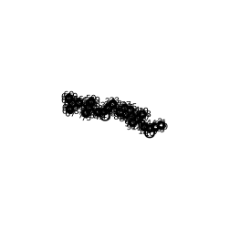 c1ccc2cc3c(cc2c1)oc1ccc(-c2c4ccccc4c(-c4ccc5ccc6c(-c7cccc8cc9c(cc78)oc7ccc(-c8c%10ccccc%10c(-c%10ccc%11c%12ccccc%12c%12ccccc%12c%11c%10)c%10ccccc8%10)cc79)ccc7ccc4c5c76)c4ccccc24)cc13